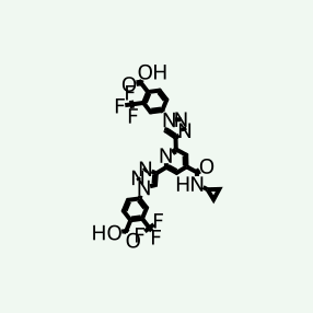 O=C(NC1CC1)c1cc(-c2cn(-c3ccc(C(=O)O)c(C(F)(F)F)c3)nn2)nc(-c2cn(-c3ccc(C(=O)O)c(C(F)(F)F)c3)nn2)c1